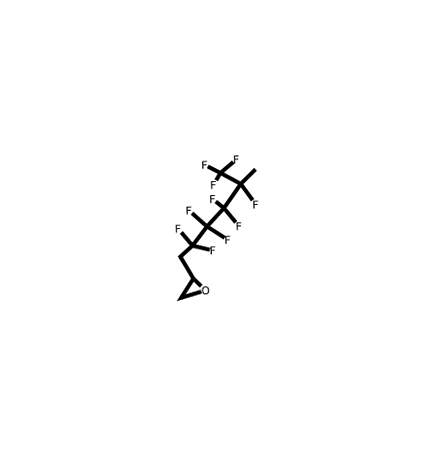 CC(F)(C(F)(F)F)C(F)(F)C(F)(F)C(F)(F)CC1CO1